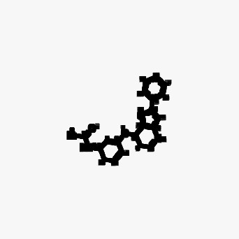 CCC(=O)NC1C=C(OC2CC=Nc3cc(-c4ccccc4)oc32)C=CC1